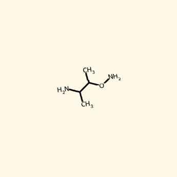 CC(N)C(C)ON